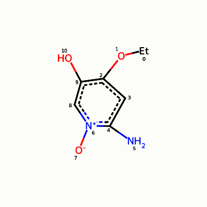 CCOc1cc(N)[n+]([O-])cc1O